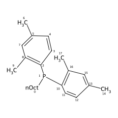 CCCCCCCCP(c1ccc(C)cc1C)c1ccc(C)cc1C